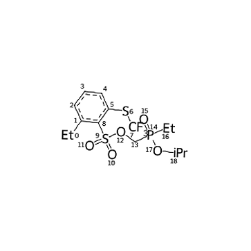 CCc1cccc(SC(F)(F)F)c1S(=O)(=O)OCP(=O)(CC)OC(C)C